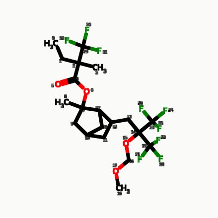 CCC(C)(C(=O)OC1(C)CC2CC(CC(OCOC)(C(F)(F)F)C(F)(F)F)C1C2)C(F)(F)F